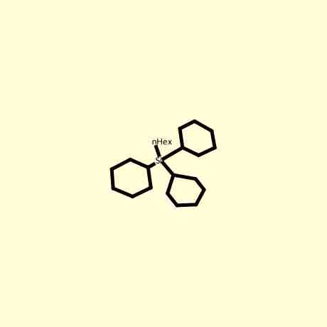 CCCCCC[Si](C1CCCCC1)(C1CCCCC1)C1CCCCC1